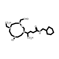 CCN1CCN(CC(=O)O)CCN(CC=O)CCN(C(CCC(=O)NCC2CCCCC2)C(=O)O)CC1